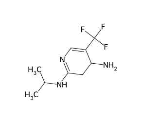 CC(C)NC1=NC=C(C(F)(F)F)C(N)C1